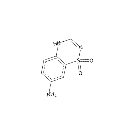 Nc1ccc2c(c1)S(=O)(=O)N=CN2